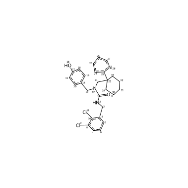 O=C(NCc1cccc(Cl)c1Cl)N(Cc1ccc(O)cc1)CC1(c2ccccn2)CCCCC1